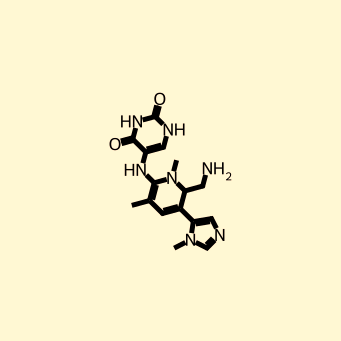 CC1=C(Nc2c[nH]c(=O)[nH]c2=O)N(C)C(CN)C(c2cncn2C)=C1